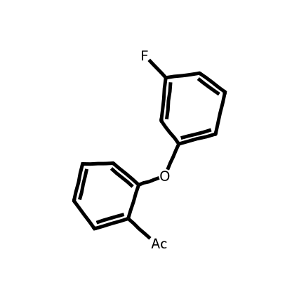 CC(=O)c1ccccc1Oc1cccc(F)c1